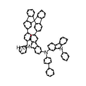 C=Cc1ccc(-c2ccc3c(c2)C2(c4ccccc4-3)c3ccccc3-c3ccc(-c4ccc5c(c4)c4cc(N(c6ccc(-c7ccccc7)cc6)c6ccc7c8ccccc8n(-c8ccccc8)c7c6)ccc4n5-c4ccccc4)cc32)cc1